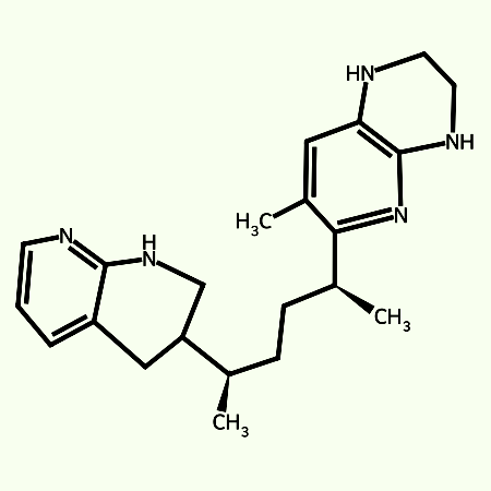 Cc1cc2c(nc1[C@@H](C)CC[C@@H](C)C1CNc3ncccc3C1)NCCN2